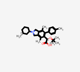 Cc1ccc(-c2c(C)c3c(c(C)c2[C@H](OC(C)(C)C)C(=O)O)CN(C2CCC[C@@H](C)C2)C3)cc1